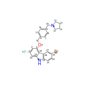 Fc1cc(OCc2ccc(CN3CCCC3)cc2)c2c(c1)[nH]c1ccc(Br)cc12